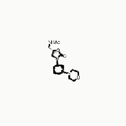 CC(=O)NC[C@H]1CN(c2cccc(N3CCOCC3)c2)C(=O)O1